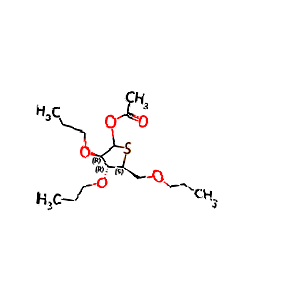 CCCOC[C@@H]1SC(OC(C)=O)[C@H](OCCC)[C@H]1OCCC